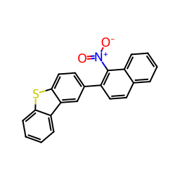 O=[N+]([O-])c1c(-c2ccc3sc4ccccc4c3c2)ccc2ccccc12